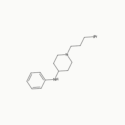 CC(C)CCCN1CCC(Nc2ccccc2)CC1